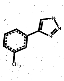 Cc1cccc(C2=C[N]N=N2)c1